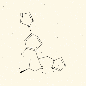 C[C@@H]1COC(Cn2cncn2)(c2ccc(-n3cncn3)cc2F)C1